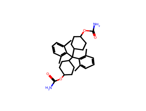 Cc1cccc(C)c1C(c1c(C)cccc1C)(C1CCC(OC(N)=O)CC1)C1CCC(OC(N)=O)CC1